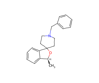 C[C@@H]1OC2(CCN(Cc3ccccc3)CC2)c2ccccc21